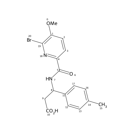 COc1ccc(C(=O)NC(CC(=O)O)c2ccc(C)cc2)nc1Br